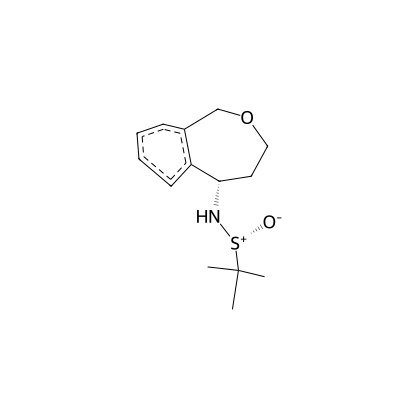 CC(C)(C)[S@@+]([O-])N[C@H]1CCOCc2ccccc21